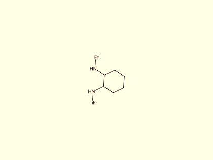 CCNC1CCCCC1NC(C)C